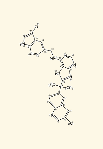 CC(C)(c1ccc2ncc(Cl)cc2c1)c1nc2ncnc(NCc3cnc4[nH]cc(Cl)c4c3)c2[nH]1